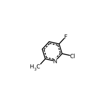 Cc1ccc(F)c(Cl)n1